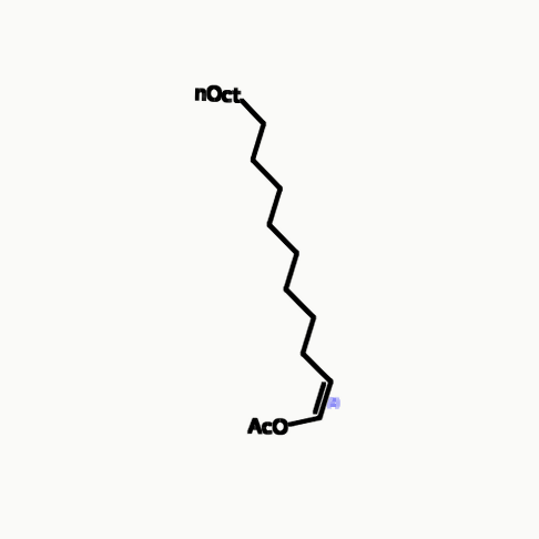 CCCCCCCCCCCCCCCC/C=C\OC(C)=O